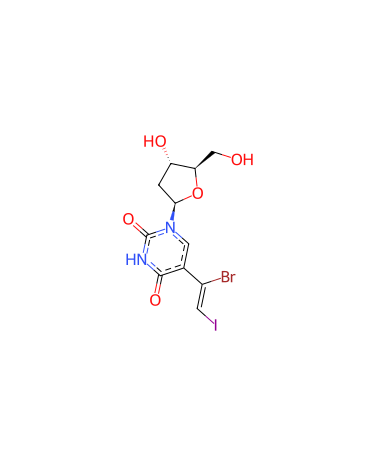 O=c1[nH]c(=O)n([C@H]2C[C@H](O)[C@@H](CO)O2)cc1C(Br)=CI